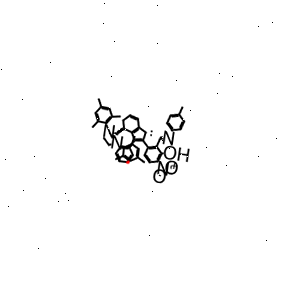 Cc1ccc(N=Cc2c(C3=C(c4ccccc4)C4=C([C]3)C=CCC4=C3N(c4c(C)cc(C)cc4C)CCN3c3c(C)cc(C)cc3C)ccc([N+](=O)[O-])c2O)cc1